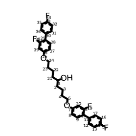 OC(CCCCOc1ccc(-c2ccc(F)cc2)c(F)c1)CCCCOc1ccc(-c2ccc(F)cc2)c(F)c1